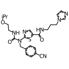 CC(C)OCCNC(=O)N(Cc1ccc(C#N)cc1)c1ncc(C(=O)NCCCn2ccnc2)s1